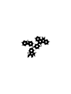 C=C1/C(=C\C)[C@@H]2CC=C(N(C3=CC4c5c(c6c(c7ccccc57)C(C)(C)c5ccccc5-6)OC4C=C3)c3ccc4sc5ccccc5c4c3)C=C2C1(C)I